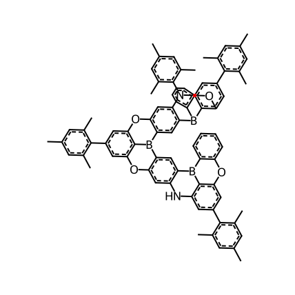 Cc1cc(C)c(-c2cc3c4c(c2)Oc2ccccc2B4c2cc4c(cc2N3)Oc2cc(-c3c(C)cc(C)cc3C)cc3c2B4c2cc4c(cc2O3)N(c2c(C)cc(C)cc2C)c2cc(-c3c(C)cc(C)cc3C)cc3c2B4c2ccccc2O3)c(C)c1